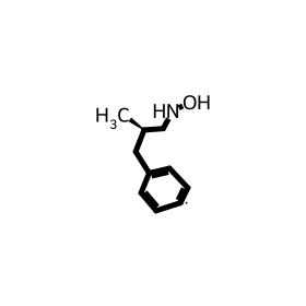 C[C@@H](CNO)Cc1cc[c]cc1